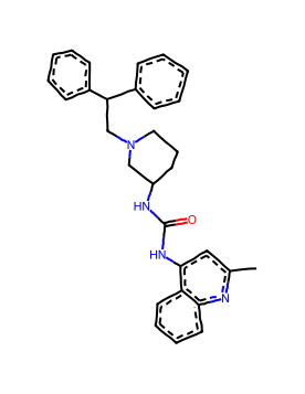 Cc1cc(NC(=O)NC2CCCN(CC(c3ccccc3)c3ccccc3)C2)c2ccccc2n1